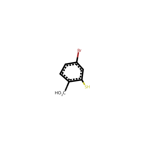 O=C(O)c1ccc(Br)cc1S